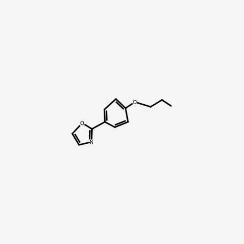 CCCOc1ccc(-c2ncco2)cc1